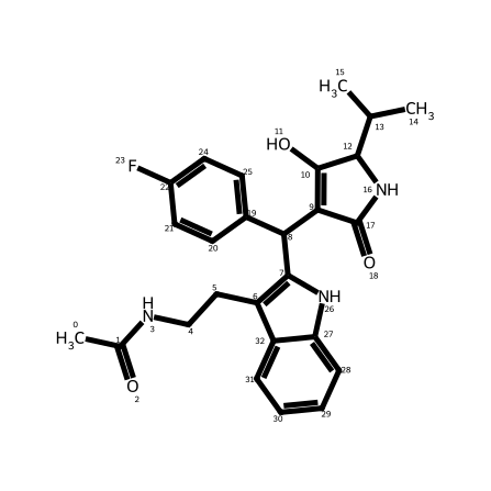 CC(=O)NCCc1c(C(C2=C(O)C(C(C)C)NC2=O)c2ccc(F)cc2)[nH]c2ccccc12